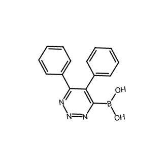 OB(O)c1nnnc(-c2ccccc2)c1-c1ccccc1